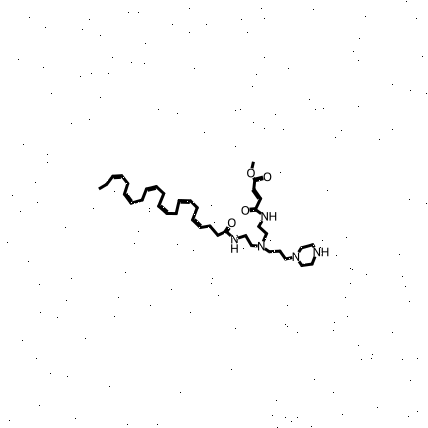 CC/C=C\C/C=C\C/C=C\C/C=C\C/C=C\C/C=C\CCC(=O)NCCN(CCCN1CCNCC1)CCNC(=O)C=CC(=O)OC